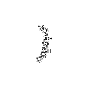 Cc1nc2cc(OC[C@@H](O)CN3CCN(CC(=O)Nc4ccc(-c5ccccc5)cc4)CC3)ccc2s1